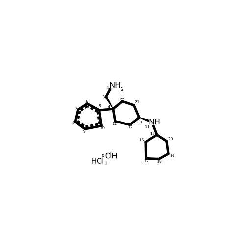 Cl.Cl.NC[C@]1(c2ccccc2)CC[C@H](NC2CCCCC2)CC1